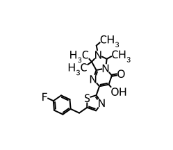 CCN1C(C)n2c(nc(-c3ncc(Cc4ccc(F)cc4)s3)c(O)c2=O)C1(C)C